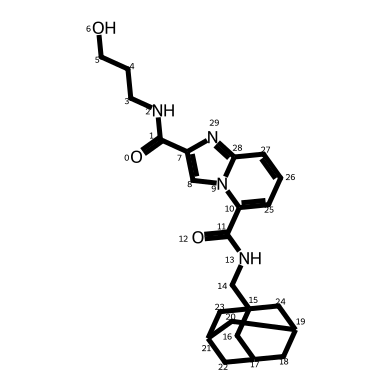 O=C(NCCCO)c1cn2c(C(=O)NCC34CC5CC(CC(C5)C3)C4)cccc2n1